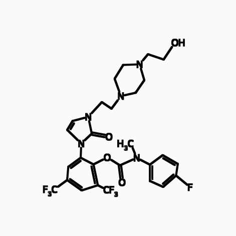 CN(C(=O)Oc1c(-n2ccn(CCN3CCN(CCO)CC3)c2=O)cc(C(F)(F)F)cc1C(F)(F)F)c1ccc(F)cc1